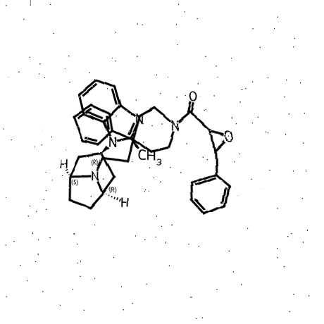 Cc1nc2ccccc2n1[C@H]1C[C@H]2CC[C@@H](C1)N2CCC1(c2ccccc2)CCN(C(=O)C2OC2c2ccccc2)CC1